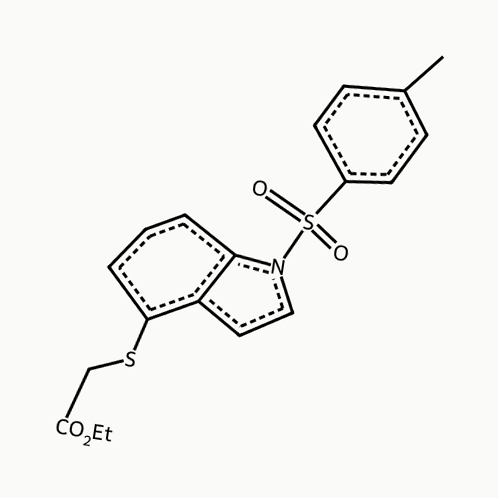 CCOC(=O)CSc1cccc2c1ccn2S(=O)(=O)c1ccc(C)cc1